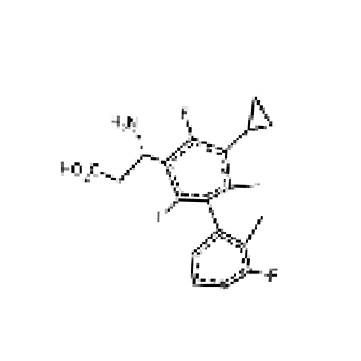 Cc1c(F)cccc1-c1c(C)c(C2CC2)c(F)c([C@@H](N)CC(=O)O)c1F